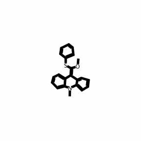 COC(Sc1ccccc1)=C1c2ccccc2N(C)c2ccccc21